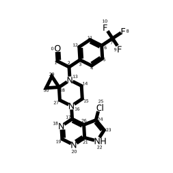 O=CC(c1ccc(C(F)(F)F)cc1)N1CCN(c2ncnc3[nH]cc(Cl)c23)CC12CC2